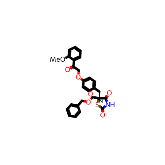 COc1ccccc1C(=O)COc1ccc(C[C@]2(C(=O)OCc3ccccc3)SC(=O)NC2=O)cc1